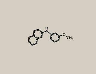 COc1cccc(Nc2ccc3ccccc3c2)c1